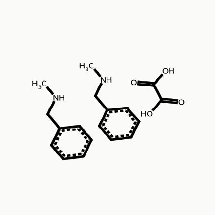 CNCc1ccccc1.CNCc1ccccc1.O=C(O)C(=O)O